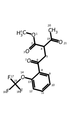 COC(=O)C(CC(=O)c1ccccc1OC(F)(F)F)C(C)=O